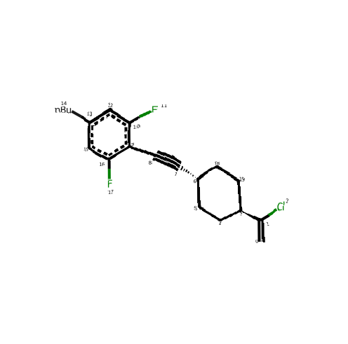 C=C(Cl)[C@H]1CC[C@H](C#Cc2c(F)cc(CCCC)cc2F)CC1